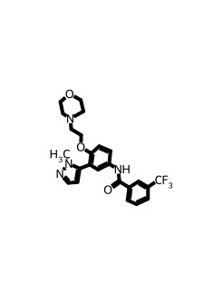 Cn1nccc1-c1cc(NC(=O)c2cccc(C(F)(F)F)c2)ccc1OCCN1CCOCC1